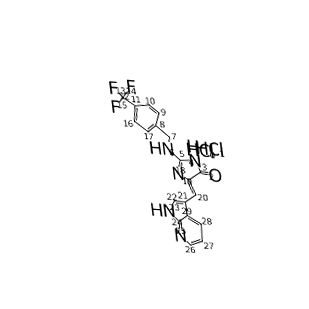 Cl.Cl.O=C1NC(NCc2ccc(C(F)(F)F)cc2)=NC1=Cc1c[nH]c2ncccc12